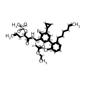 C=CCCCCc1cccc(Cl)c1-c1cc(C2CC2)c(F)c([C@H](CC(=O)OCC)NC(=O)[C@@H](CC=C)OS(C)(=O)=O)c1